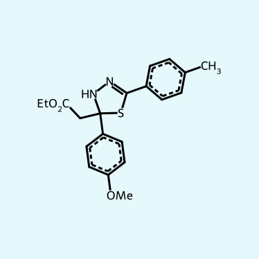 CCOC(=O)CC1(c2ccc(OC)cc2)NN=C(c2ccc(C)cc2)S1